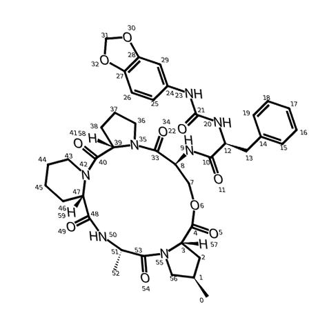 C[C@@H]1C[C@H]2C(=O)OC[C@H](NC(=O)[C@H](Cc3ccccc3)NC(=O)Nc3ccc4c(c3)OCO4)C(=O)N3CCC[C@H]3C(=O)N3CCCC[C@H]3C(=O)N[C@@H](C)C(=O)N2C1